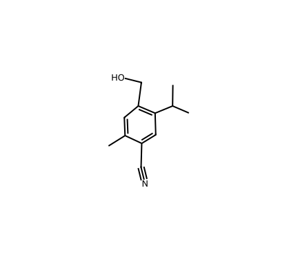 Cc1cc(CO)c(C(C)C)cc1C#N